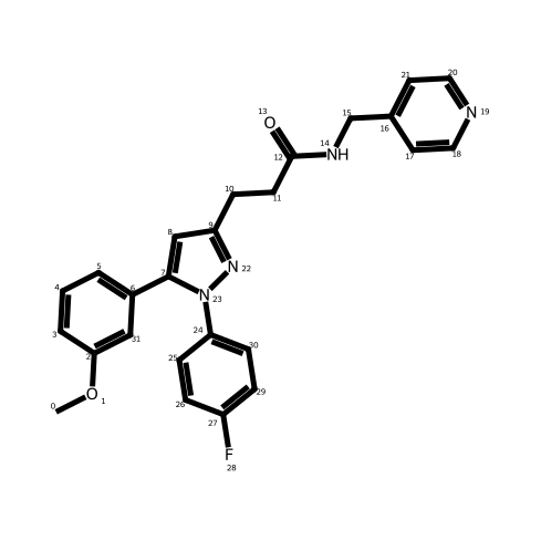 COc1cccc(-c2cc(CCC(=O)NCc3ccncc3)nn2-c2ccc(F)cc2)c1